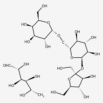 C[C@H](O)[C@H](O)[C@@H](O)[C@@H](O)C=O.OC[C@H]1O[C@H](OC[C@H]2O[C@H](O[C@]3(CO)O[C@H](CO)[C@@H](O)[C@@H]3O)[C@H](O)[C@@H](O)[C@@H]2O)[C@H](O)[C@@H](O)[C@H]1O